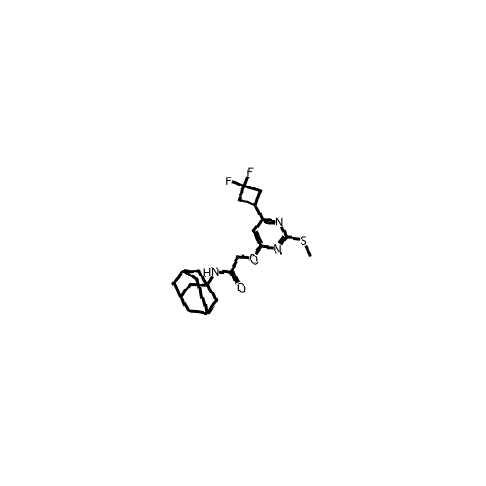 CSc1nc(OCC(=O)NC23CC4CC(CC(C4)C2)C3)cc(C2CC(F)(F)C2)n1